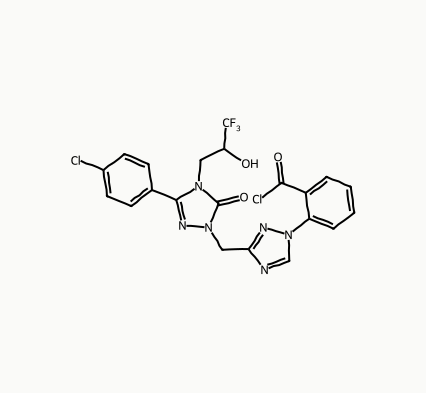 O=C(Cl)c1ccccc1-n1cnc(Cn2nc(-c3ccc(Cl)cc3)n(CC(O)C(F)(F)F)c2=O)n1